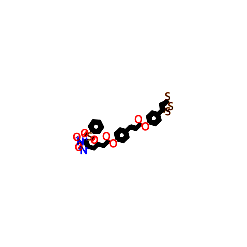 O=C(/C=C/c1ccc(OC(=O)CCCc2no[n+]([O-])c2S(=O)(=O)c2ccccc2)cc1)Oc1ccc(-c2cc(=S)ss2)cc1